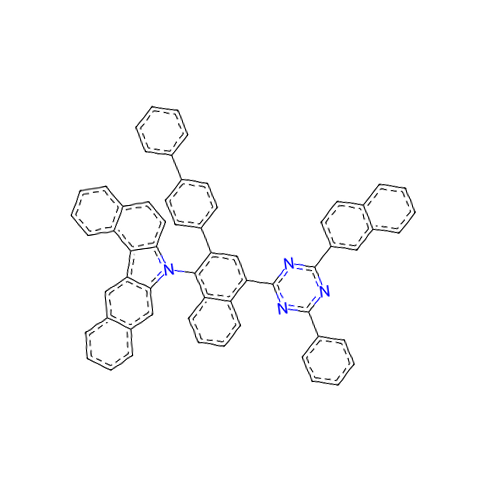 c1ccc(-c2ccc(-c3cc(-c4nc(-c5ccccc5)nc(-c5ccc6ccccc6c5)n4)c4ccccc4c3-n3c4cc5ccccc5cc4c4c5ccccc5ccc43)cc2)cc1